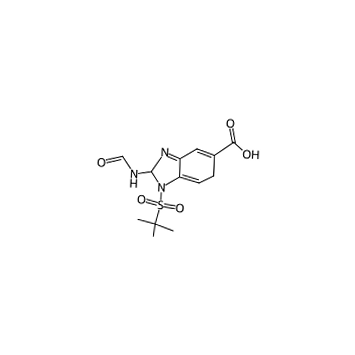 CC(C)(C)S(=O)(=O)N1C2=CCC(C(=O)O)=CC2=NC1NC=O